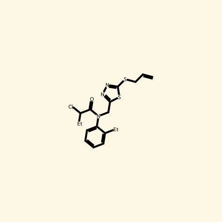 C=CCSc1nnc(CN(C(=O)C(Cl)CC)c2ccccc2CC)s1